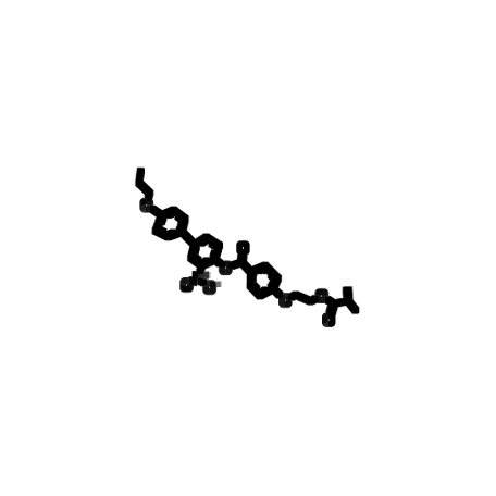 C=C(C)C(=O)OCCOc1ccc(C(=O)Oc2ccc(-c3ccc(OCCC)cc3)cc2[N+](=O)[O-])cc1